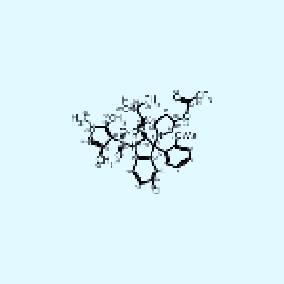 COc1ccccc1C1(N2C[C@H](OC(=O)C(F)(F)F)C[C@H]2C(=O)N(C)C)C(=O)N(S(=O)(=O)c2c(C)nn(C)c2C)c2ccc(Cl)cc21